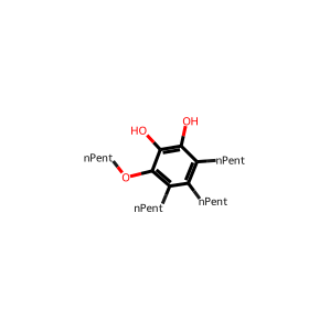 CCCCCOc1c(O)c(O)c(CCCCC)c(CCCCC)c1CCCCC